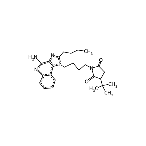 CCCCc1nc2c(N)nc3ccccc3c2n1CCCCN1C(=O)CC(C(C)(C)C)C1=O